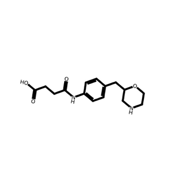 O=C(O)CCC(=O)Nc1ccc(CC2CNCCO2)cc1